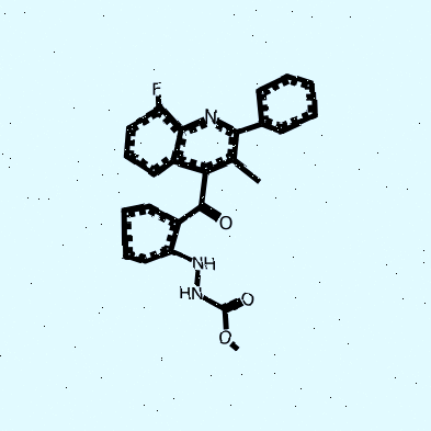 COC(=O)NNc1ccccc1C(=O)c1c(C)c(-c2ccccc2)nc2c(F)cccc12